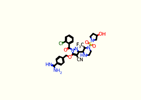 N#Cc1c(C2NCCN(S(=O)(=O)N3CCC(O)C3)C2C(F)(F)F)nn(C(=O)c2ccccc2Cl)c1OCc1ccc(C(=N)N)cc1